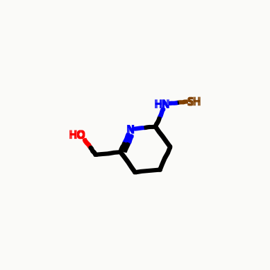 OCC1=NC(NS)CCC1